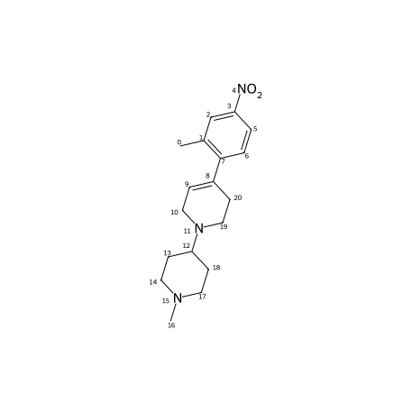 Cc1cc([N+](=O)[O-])ccc1C1=CCN(C2CCN(C)CC2)CC1